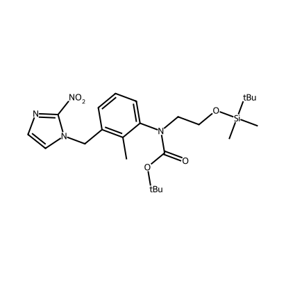 Cc1c(Cn2ccnc2[N+](=O)[O-])cccc1N(CCO[Si](C)(C)C(C)(C)C)C(=O)OC(C)(C)C